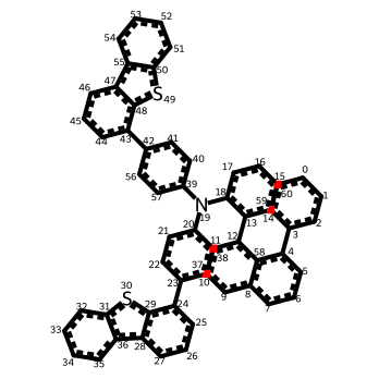 c1ccc(-c2cccc3cccc(-c4ccccc4N(c4ccc(-c5cccc6c5sc5ccccc56)cc4)c4ccc(-c5cccc6c5sc5ccccc56)cc4)c23)cc1